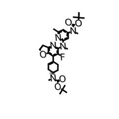 Cc1cc(N(C)C(=O)OC(C)(C)C)cc(N(C)c2nc3c(c(C4=CC[C@H](N(C)C(=O)OC(C)(C)C)CC4)c2F)OCC3)n1